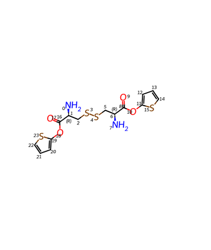 N[C@@H](CSSC[C@H](N)C(=O)Oc1cccs1)C(=O)Oc1cccs1